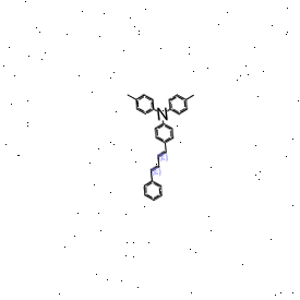 Cc1ccc(N(c2ccc(C)cc2)c2ccc(/C=C/C=C/c3ccccc3)cc2)cc1